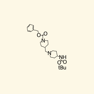 CC(C)(C)OC(=O)NC1CCN(CC2CCN(C(=O)OCc3ccccc3)CC2)CC1